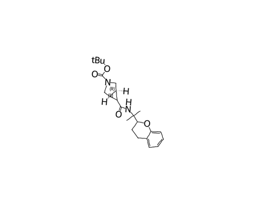 CC(C)(C)OC(=O)N1C[C@@H]2C(C(=O)NC(C)(C)C3CCc4ccccc4O3)[C@@H]2C1